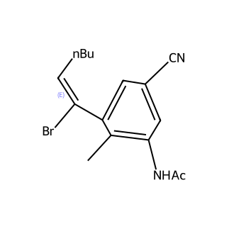 CCCC/C=C(/Br)c1cc(C#N)cc(NC(C)=O)c1C